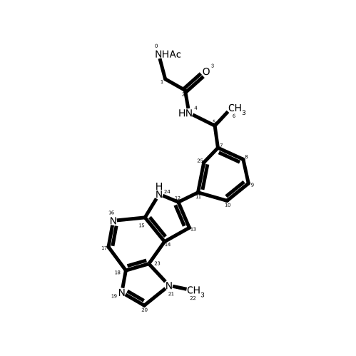 CC(=O)NCC(=O)NC(C)c1cccc(-c2cc3c(ncc4ncn(C)c43)[nH]2)c1